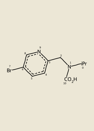 CC(C)N(Cc1ccc(Br)cn1)C(=O)O